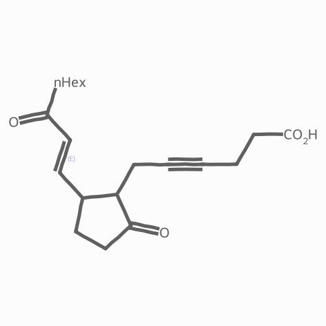 CCCCCCC(=O)/C=C/C1CCC(=O)C1CC#CCCC(=O)O